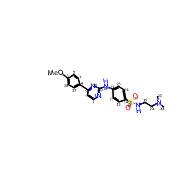 COc1ccc(-c2ccnc(Nc3ccc(S(=O)(=O)NCCN(C)C)cc3)n2)cc1